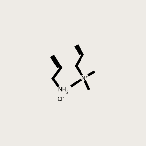 C=CCN.C=CC[N+](C)(C)C.[Cl-]